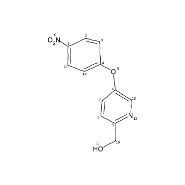 O=[N+]([O-])c1ccc(Oc2ccc(CO)nc2)cc1